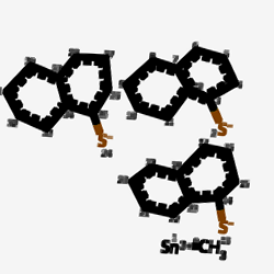 [CH3][Sn+3].[S-]c1cccc2ccccc12.[S-]c1cccc2ccccc12.[S-]c1cccc2ccccc12